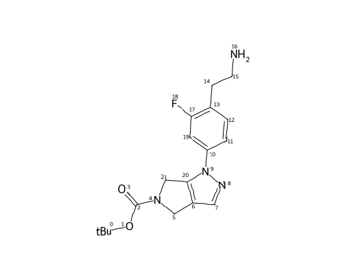 CC(C)(C)OC(=O)N1Cc2cnn(-c3ccc(CCN)c(F)c3)c2C1